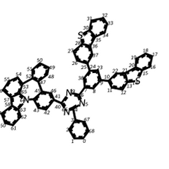 c1ccc(-c2nc(-c3cc(-c4ccc5sc6ccccc6c5c4)cc(-c4ccc5sc6ccccc6c5c4)c3)nc(-c3ccc4c(c3)-c3ccccc3-c3cccc5c6ccccc6n-4c35)n2)cc1